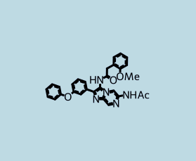 COc1ccccc1CC(=O)Nc1c(-c2cccc(Oc3ccccc3)c2)nc2cnc(NC(C)=O)cn12